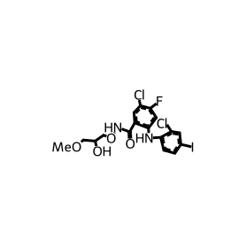 COCC(O)CONC(=O)c1cc(Cl)c(F)cc1Nc1ccc(I)cc1Cl